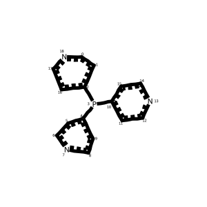 c1cc(P(c2ccncc2)c2ccncc2)ccn1